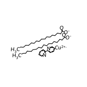 CCCCCCCCCCCCCCCCCC(=O)[O-].CCCCCCCCCCCCCCCCCC(=O)[O-].[Cu+2].c1ccc(-c2ccccn2)nc1